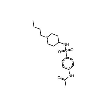 CCCCN1CCC(NS(=O)(=O)c2ccc(NC(C)=O)cc2)CC1